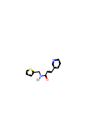 CCN(Cc1cccs1)C(=O)/C=C/c1cccnc1